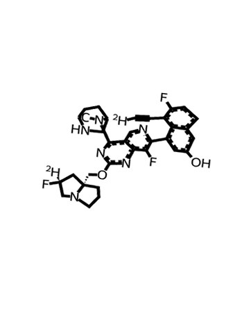 [2H]C#Cc1c(F)ccc2cc(O)cc(-c3ncc4c(N5CC6CCC5CN6)nc(OC[C@]56CCCN5C[C@@]([2H])(F)C6)nc4c3F)c12